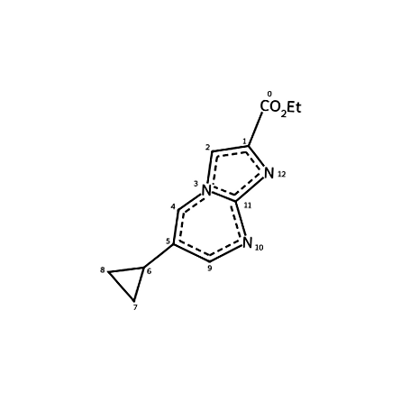 CCOC(=O)c1cn2cc(C3CC3)cnc2n1